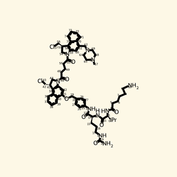 CC(C)[C@H](NC(=O)CCCCCN)C(=O)N[C@@H](CCCNC(N)=O)C(=O)Nc1ccc(COc2cc3c(c4ccccc24)[C@H](CCl)CN3C(=O)CCCC(=O)N2C[C@@H](CCl)c3c2cc(CN2CCN(C)CC2)c2ccccc32)cc1